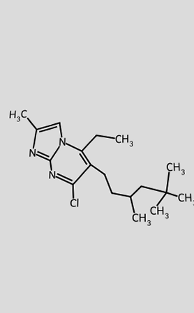 CCc1c(CCC(C)CC(C)(C)C)c(Cl)nc2nc(C)cn12